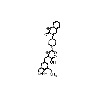 CCc1cc(CC(NC(=O)N2CCC(N3Cc4ccccc4NC3=O)CC2)C(=O)O)cc2cn[nH]c12